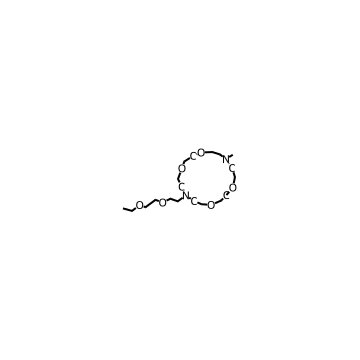 CCOCCOCCN1CCOCCOCCN(C)CCOCCOCC1